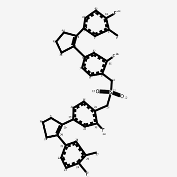 Cc1cc(C2=C(c3ccc(CS(=O)(=O)Cc4ccc(C5=C(c6ccc(F)c(C)c6)CCC5)cc4F)c(F)c3)CCC2)ccc1F